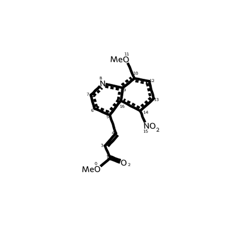 COC(=O)/C=C/c1ccnc2c(OC)ccc([N+](=O)[O-])c12